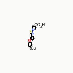 CC(C)(C)[C@H]1CC[C@H](Oc2cccc(-c3csc(N4CCC(C(=O)O)CC4)n3)c2)CC1